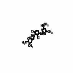 CNc1cc(C)nc(Nc2ccc(Cl)c(-n3cc(CN(C)C(C)=O)nn3)c2Cl)n1